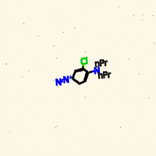 CCCN(CCC)C1=CCC(=[N+]=[N-])C=C1Cl